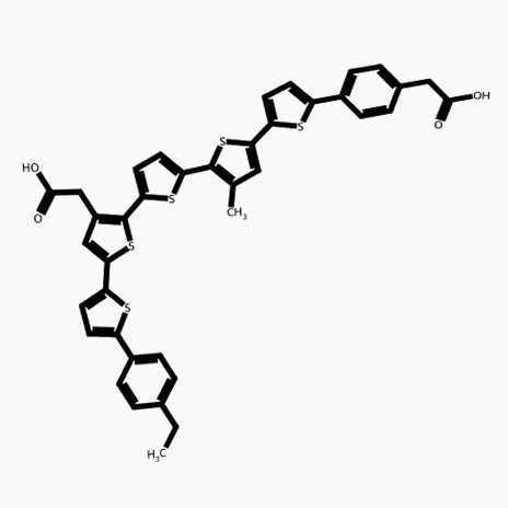 CCc1ccc(-c2ccc(-c3cc(CC(=O)O)c(-c4ccc(-c5sc(-c6ccc(-c7ccc(CC(=O)O)cc7)s6)cc5C)s4)s3)s2)cc1